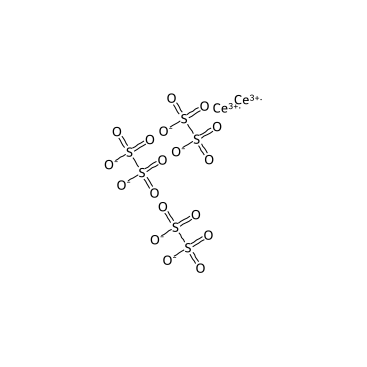 O=S(=O)([O-])S(=O)(=O)[O-].O=S(=O)([O-])S(=O)(=O)[O-].O=S(=O)([O-])S(=O)(=O)[O-].[Ce+3].[Ce+3]